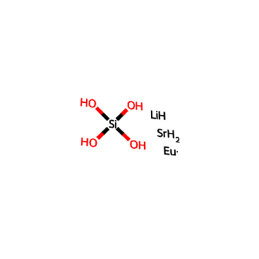 O[Si](O)(O)O.[Eu].[LiH].[SrH2]